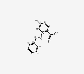 Cc1ccc(C(=O)Cl)c(OCc2ccccc2)c1